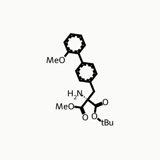 COC(=O)[C@@](N)(Cc1ccc(-c2ccccc2OC)cc1)C(=O)OC(C)(C)C